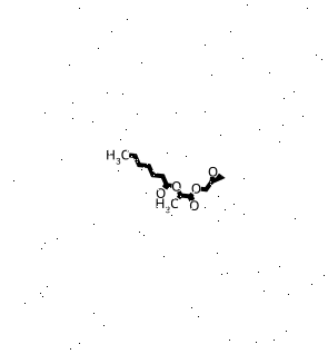 CCCCCCC(=O)OC(C)C(=O)OCC1CO1